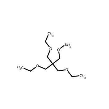 CCOCC(CO[SiH3])(COCC)COCC